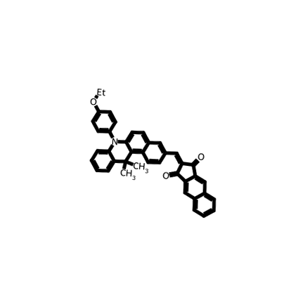 CCOc1ccc(N2c3ccccc3C(C)(C)c3c2ccc2cc(C=C4C(=O)c5cc6ccccc6cc5C4=O)ccc32)cc1